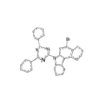 Brc1cc2c(c3ccccc13)c1ccccc1n2-c1nc(-c2ccccc2)nc(-c2ccccc2)n1